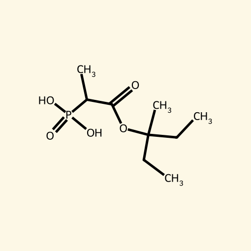 CCC(C)(CC)OC(=O)C(C)P(=O)(O)O